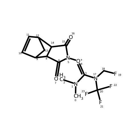 CN(C)C(=[O+]N1C(=O)C2C3C=CC(C3)C2C1=O)N(CF)C(F)(F)F